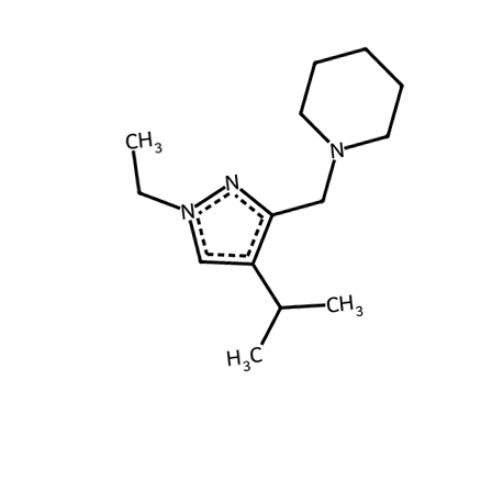 CCn1cc(C(C)C)c(CN2CCCCC2)n1